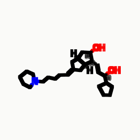 O[C@H](C=C[C@@H]1[C@H]2CC(=CCCCCN3CCCCC3)C[C@H]2C[C@H]1O)C1CCCC1